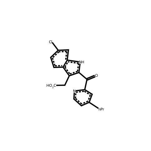 CCCc1ccnc(C(=O)c2[nH]c3cc(Cl)ccc3c2CC(=O)O)c1